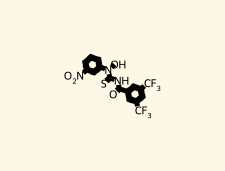 O=C(NC(=S)N(O)c1cccc([N+](=O)[O-])c1)c1cc(C(F)(F)F)cc(C(F)(F)F)c1